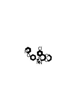 Clc1ccc2c(c1)CC1(Cc3nnc([C@H]4CC[C@H](Oc5ccccn5)CC4)n3-2)OCCCCO1